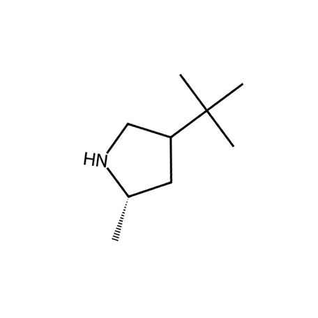 C[C@H]1CC(C(C)(C)C)CN1